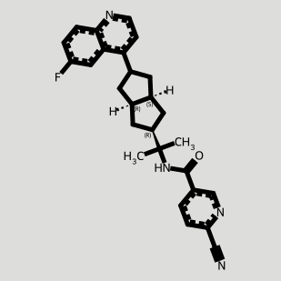 CC(C)(NC(=O)c1ccc(C#N)nc1)[C@H]1C[C@H]2CC(c3ccnc4ccc(F)cc34)C[C@H]2C1